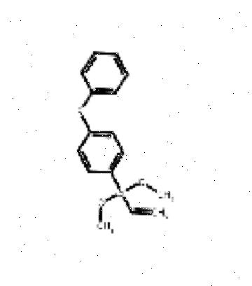 C=C[Si](OC)(OC)c1ccc(Sc2ccccc2)cc1